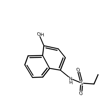 CCS(=O)(=O)Nc1ccc(O)c2ccccc12